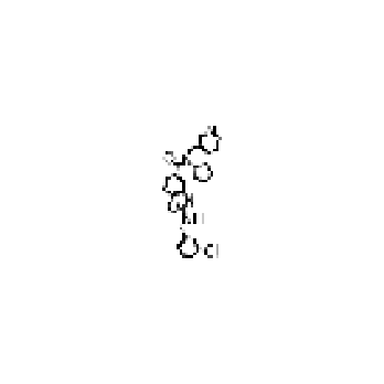 O=C(c1ccc2oc(NCc3cccc(Cl)c3)nc2c1)N(Cc1cccnc1)C1CCCC1